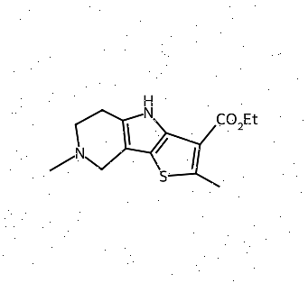 CCOC(=O)c1c(C)sc2c3c([nH]c12)CCN(C)C3